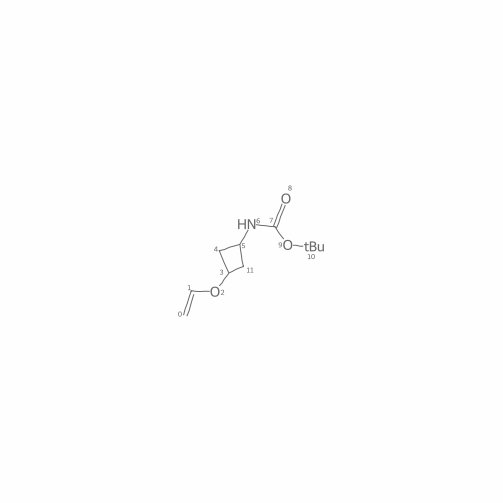 C=COC1CC(NC(=O)OC(C)(C)C)C1